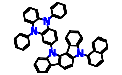 c1ccc(N2c3ccccc3N(c3ccccc3)c3cc(-n4c5ccccc5c5ccc6c(c7ccccc7n6-c6cccc7ccccc67)c54)ccc32)cc1